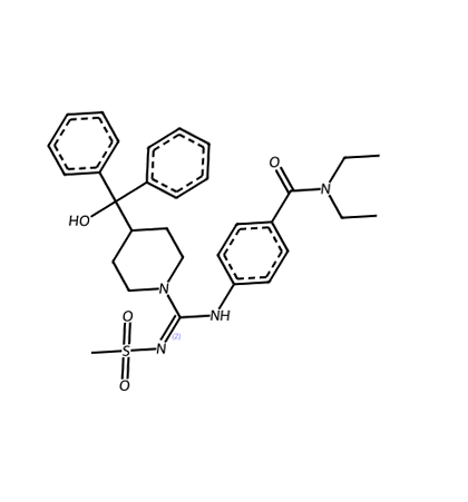 CCN(CC)C(=O)c1ccc(N/C(=N/S(C)(=O)=O)N2CCC(C(O)(c3ccccc3)c3ccccc3)CC2)cc1